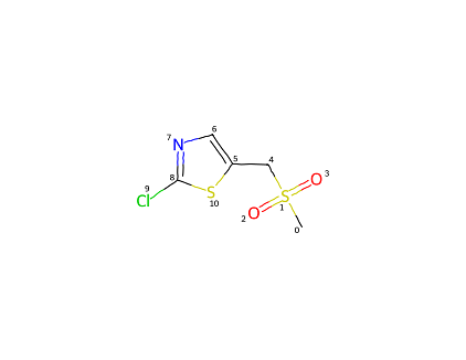 CS(=O)(=O)Cc1cnc(Cl)s1